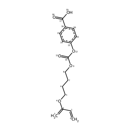 C=CC(=C)OCCCCOC(=O)Oc1ccc(C(=O)O)cc1